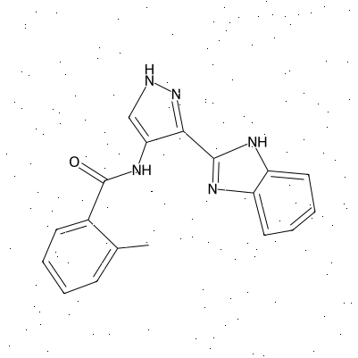 Cc1ccccc1C(=O)Nc1c[nH]nc1-c1nc2ccccc2[nH]1